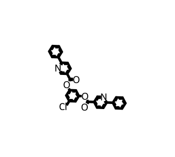 O=C(Oc1cc(Cl)cc(OC(=O)c2ccc(-c3ccccc3)nc2)c1)c1ccc(-c2ccccc2)nc1